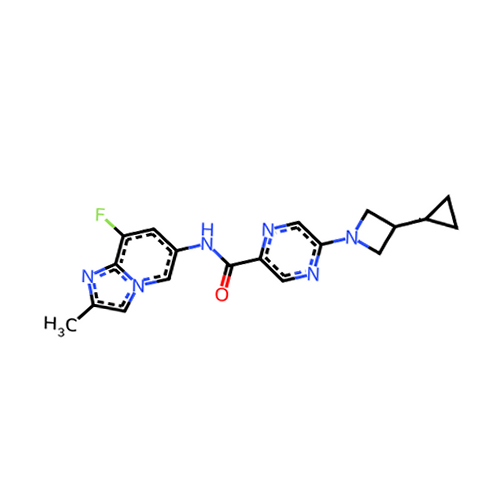 Cc1cn2cc(NC(=O)c3cnc(N4CC([C]5CC5)C4)cn3)cc(F)c2n1